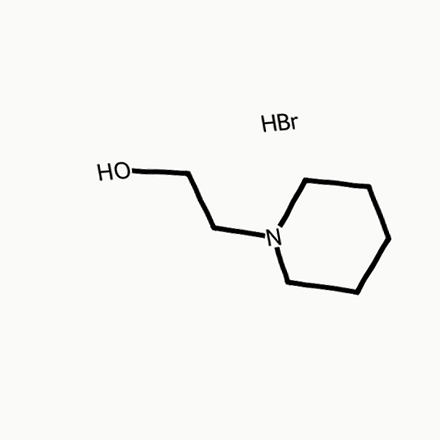 Br.OCCN1CCCCC1